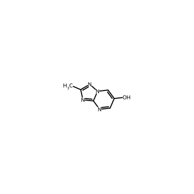 Cc1nc2ncc(O)cn2n1